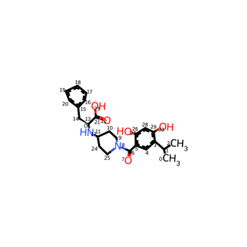 CC(C)c1cc(C(=O)N2CCC(N[C@@H](Cc3ccccc3)C(=O)O)CC2)c(O)cc1O